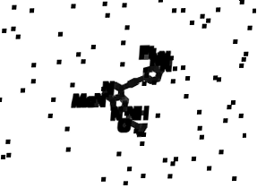 CCn1nnc2ccc(C#Cc3cnc(NC)c4cnc(NC(=O)C5CC5)cc34)cc21